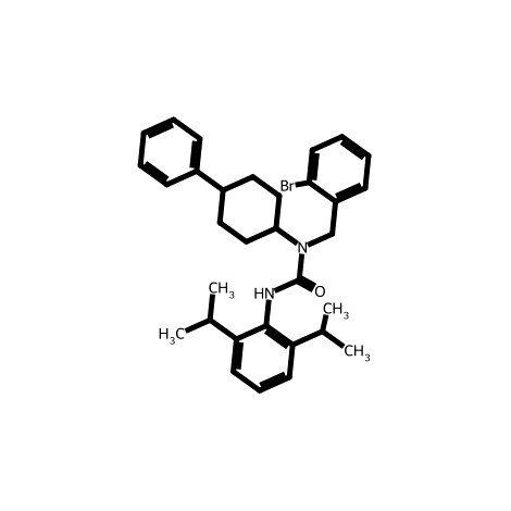 CC(C)c1cccc(C(C)C)c1NC(=O)N(Cc1ccccc1Br)C1CCC(c2ccccc2)CC1